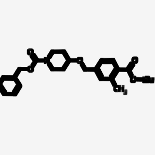 Cc1cc(COC2CCN(C(=O)OCc3ccccc3)CC2)ccc1C(=O)OC(C)(C)C